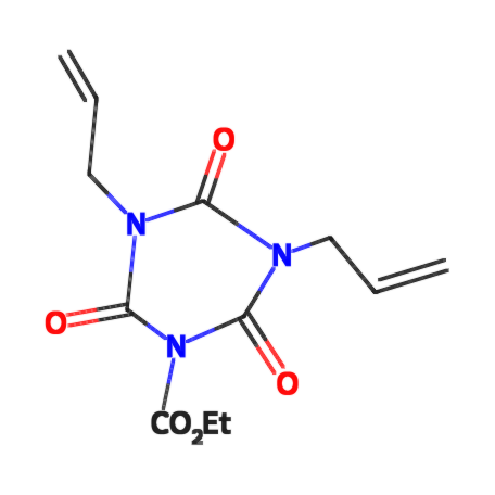 C=CCn1c(=O)n(CC=C)c(=O)n(C(=O)OCC)c1=O